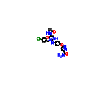 CCC(=O)Nc1c[nH]/c(=N\c2ccc(Oc3ccc(C(N)=O)nn3)cc2)n(Cc2ccc(Cl)cc2)c1=O